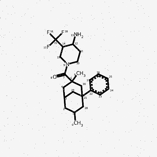 CC1CC2CC(C)(C(=O)N3CCC(N)C(C(F)(F)F)C3)CC(c3ccccc3)(C1)C2